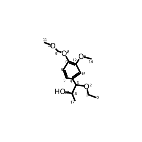 CCOC(c1ccc(OCOC)c(OC)c1)C(C)O